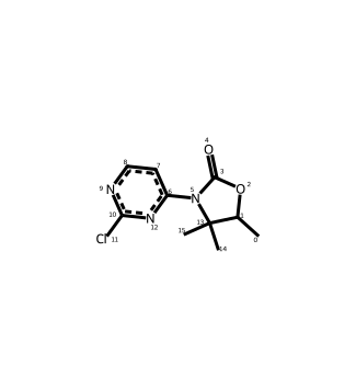 CC1OC(=O)N(c2ccnc(Cl)n2)C1(C)C